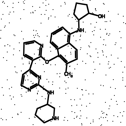 Cc1ccc2c(NC3CCCC3O)cccc2c1Oc1ncccc1-c1ccnc(NC2CCCNC2)n1